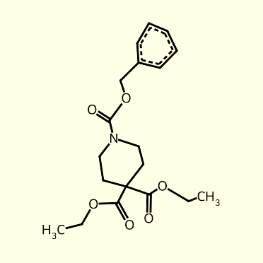 CCOC(=O)C1(C(=O)OCC)CCN(C(=O)OCc2ccccc2)CC1